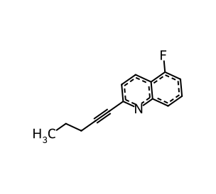 CCCC#Cc1ccc2c(F)cccc2n1